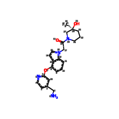 NCc1ccnc(Oc2cccc3c2ccn3CC(=O)N2CCC[C@@](O)(C(F)(F)F)C2)c1